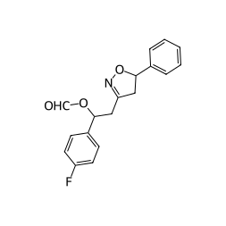 O=COC(CC1=NOC(c2ccccc2)C1)c1ccc(F)cc1